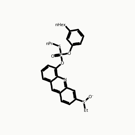 CCCCCCc1cccc(OP(=O)(Oc2cccc3cc4ccc([S+]([O-])CC)cc4nc23)SCCC)c1